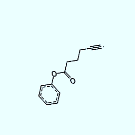 [C]#CCCCC(=O)Oc1ccccc1